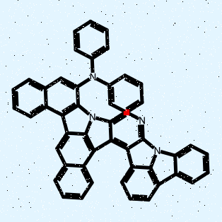 c1ccc(N(c2ccccc2)c2cc3ccccc3c3c4cc5ccccc5c5c6c7c8cccc9c%10ccccc%10n(c7ncc6n(c23)c45)c98)cc1